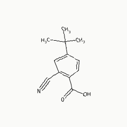 CC(C)(C)c1ccc(C(=O)O)c(C#N)c1